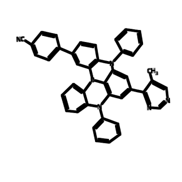 Cc1cncnc1-c1cc2c3c(c1)N(c1ccccc1)c1ccc(-c4ccc(C#N)cc4)cc1B3c1ccccc1N2c1ccccc1